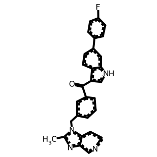 Cc1nc2cnccc2n1Cc1cccc(C(=O)c2c[nH]c3cc(-c4ccc(F)cc4)ccc23)c1